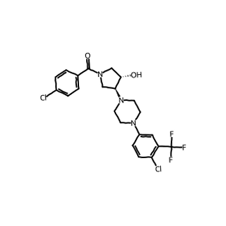 O=C(c1ccc(Cl)cc1)N1C[C@H](O)[C@@H](N2CCN(c3ccc(Cl)c(C(F)(F)F)c3)CC2)C1